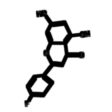 O=c1cc(-c2ccc(F)cc2)oc2cc(O)cc(O)c12